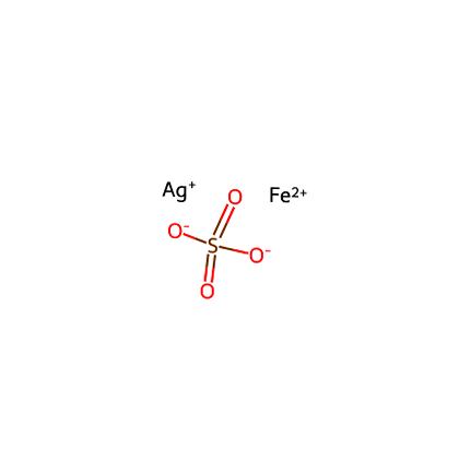 O=S(=O)([O-])[O-].[Ag+].[Fe+2]